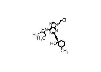 CCC(CC)Nc1nc(C#CC2(O)CCCC(C)C2)nc2c1ncn2CCCl